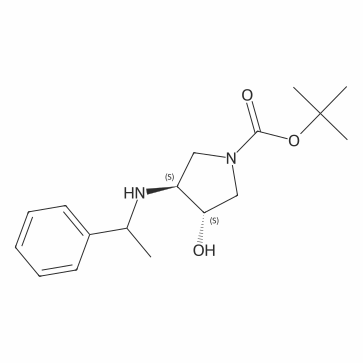 CC(N[C@H]1CN(C(=O)OC(C)(C)C)C[C@@H]1O)c1ccccc1